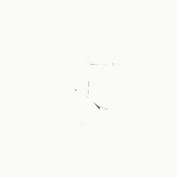 COC(=O)[C@@H]1[C@@H](C(=O)OC)C1(C)C